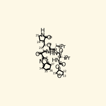 CC(C)C[C@H](NC(=O)[C@@H](NC(=O)OC1CCOC1)C(C)C)C(=O)N[C@@H](CCC1CCNC1=O)C(=O)c1nc2ccccc2s1